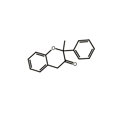 CC1(c2ccccc2)Oc2ccccc2CC1=O